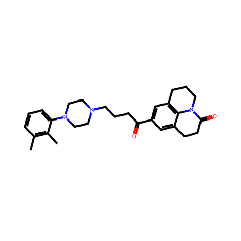 Cc1cccc(N2CCN(CCCC(=O)c3cc4c5c(c3)CCC(=O)N5CCC4)CC2)c1C